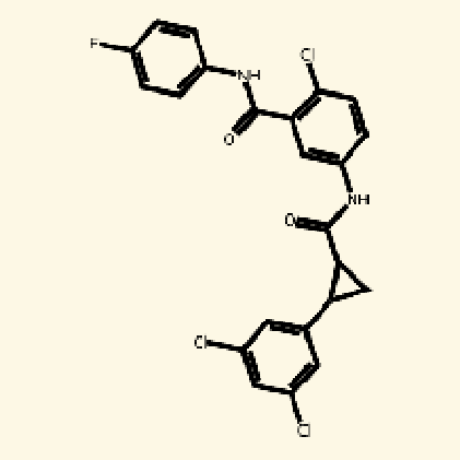 O=C(Nc1ccc(F)cc1)c1cc(NC(=O)C2CC2c2cc(Cl)cc(Cl)c2)ccc1Cl